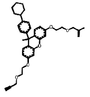 C#CCOCCOc1ccc2c(c1)Oc1cc(OCCOCC(=C)C)ccc1C2(C)c1ccc(C2CCCCC2)cc1